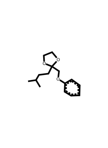 CC(C)CCC1(COc2ccccc2)OCCO1